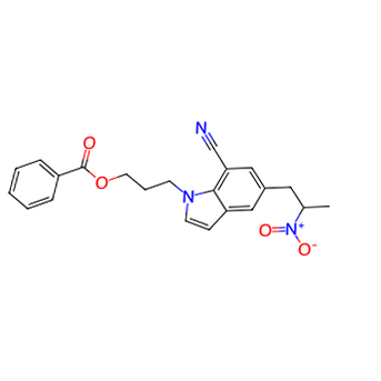 CC(Cc1cc(C#N)c2c(ccn2CCCOC(=O)c2ccccc2)c1)[N+](=O)[O-]